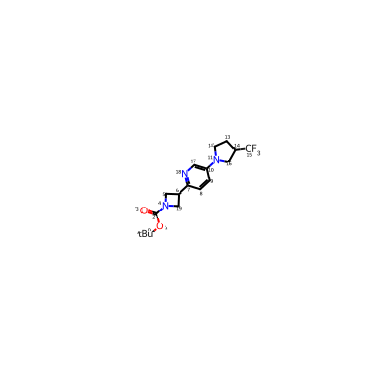 CC(C)(C)OC(=O)N1CC(c2ccc(N3CCC(C(F)(F)F)C3)cn2)C1